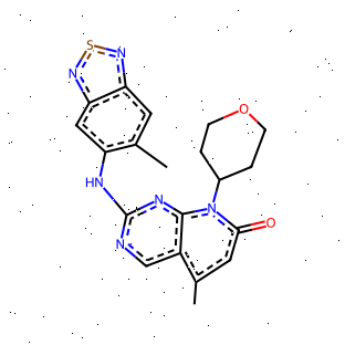 Cc1cc2nsnc2cc1Nc1ncc2c(C)cc(=O)n(C3CCOCC3)c2n1